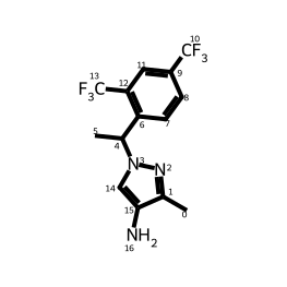 Cc1nn(C(C)c2ccc(C(F)(F)F)cc2C(F)(F)F)cc1N